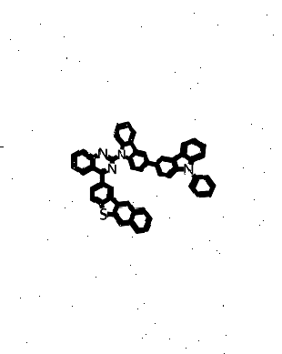 c1ccc(-n2c3ccccc3c3cc(-c4ccc5c(c4)c4ccccc4n5-c4nc(-c5ccc6sc7cc8ccccc8cc7c6c5)c5ccccc5n4)ccc32)cc1